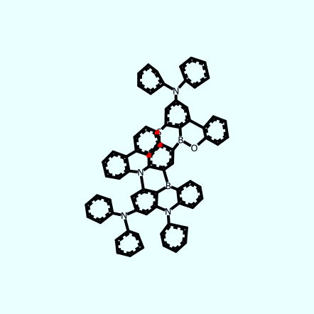 c1ccc(-c2ccccc2N2c3cc4c(cc3B3c5ccccc5N(c5ccccc5)c5cc(N(c6ccccc6)c6ccccc6)cc2c53)B2Oc3ccccc3-c3cc(N(c5ccccc5)c5ccccc5)cc(c32)S4)cc1